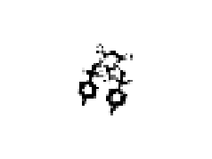 Cc1ccc(C(F)(F)CN2C(=O)CC(=O)N(CC(F)(F)c3ccc(C)cc3)C2=O)cc1